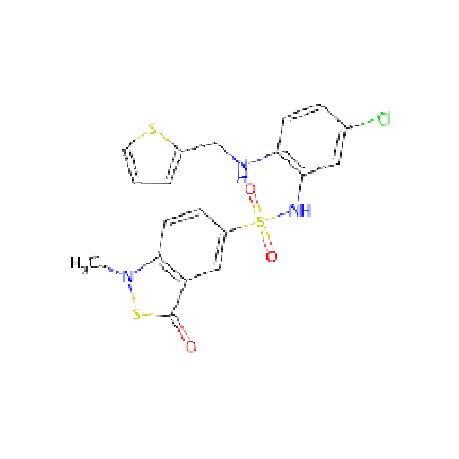 Cn1sc(=O)c2cc(S(=O)(=O)Nc3cc(Cl)ccc3NCc3cccs3)ccc21